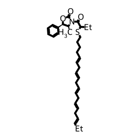 CCC=CCC=CCC=CCC=CCC=CCCCCSC(CC)C(=O)N1C(=O)O[C@H](c2ccccc2)[C@@H]1C